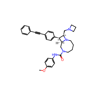 COc1ccc(NC(=O)N2CCCCN3[C@H](CN4CCC4)[C@H](c4ccc(C#Cc5ccccc5)cc4)[C@@H]3C2)cc1